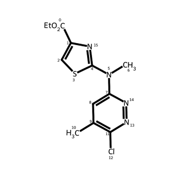 CCOC(=O)c1csc(N(C)c2cc(C)c(Cl)nn2)n1